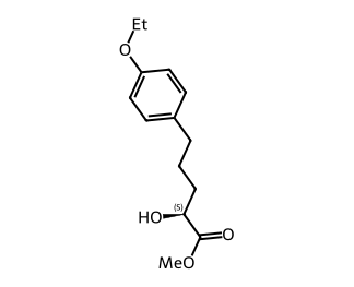 CCOc1ccc(CCC[C@H](O)C(=O)OC)cc1